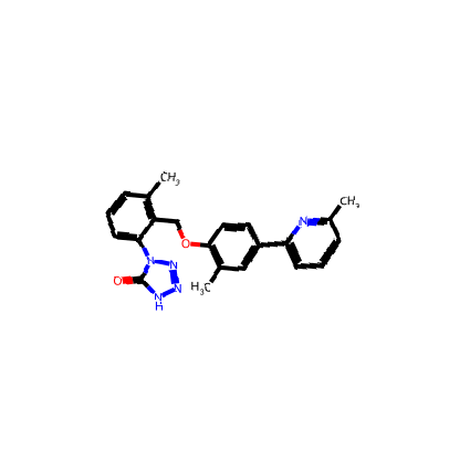 Cc1cccc(-c2ccc(OCc3c(C)cccc3-n3nn[nH]c3=O)c(C)c2)n1